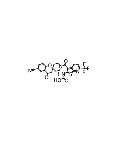 N#Cc1ccc2c(c1)C(=O)CC1(CCN(C(=O)c3c(NC(=O)O)sc4nc(C(F)(F)F)ccc34)CC1)O2